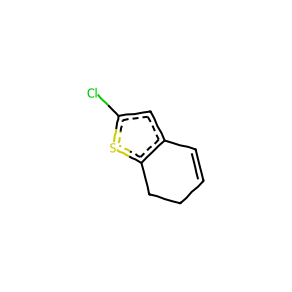 Clc1cc2c(s1)CCC=C2